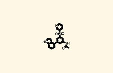 CC(=O)Nc1cc(-c2cccc3[nH]ccc23)cc(S(=O)(=O)c2cccnc2)c1